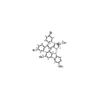 CC(C)(C)c1ccc2c(c1)-c1cc(C(C)(C)C)c[c]([Hf]([C]3=CC=CC3)=[C](c3ccc(Br)cc3)c3ccc(Br)cc3)c1C2.Cl.Cl